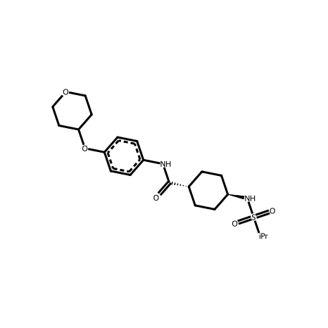 CC(C)S(=O)(=O)N[C@H]1CC[C@H](C(=O)Nc2ccc(OC3CCOCC3)cc2)CC1